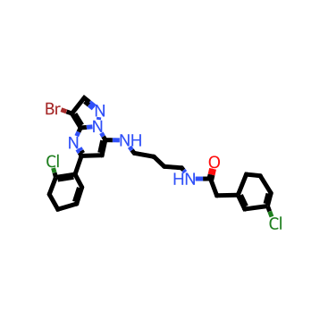 O=C(CC1=CC(Cl)=CCC1)NCCCCNc1cc(C2=C(Cl)CCC=C2)nc2c(Br)cnn12